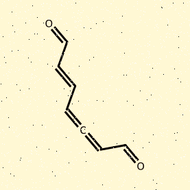 O=CC=C=CC=CC=O